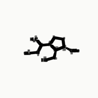 CO[C@H]1CCN(C(C)OC(C)(C)C)[C@@H]1CO